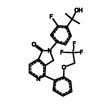 CC(C)(O)c1ccc(N2Cc3c(ccnc3-c3ccccc3OCC(F)(F)F)C2=O)cc1F